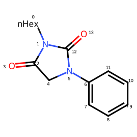 CCCCCCN1C(=O)CN(c2cc[c]cc2)C1=O